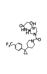 O=C1CO[C@H]2CCN(C(=O)N3CCC(C4(c5ccc(C(F)(F)F)cc5)CC4)CC3)C[C@H]2N1